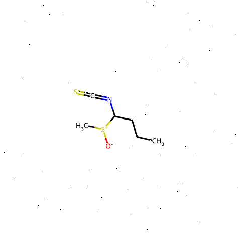 CCCC(N=C=S)[S+](C)[O-]